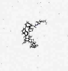 C=C1C[C@@H](N)C/C1=C/C=C(\C)c1cccc(-c2cccc3c2CC[C@@H]3Oc2nc(OC)c(CN[C@@](C)(CO)C(=O)O)cc2Br)c1Cl